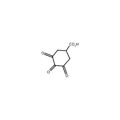 O=C1CC(C(=O)O)CC(=O)C1=O